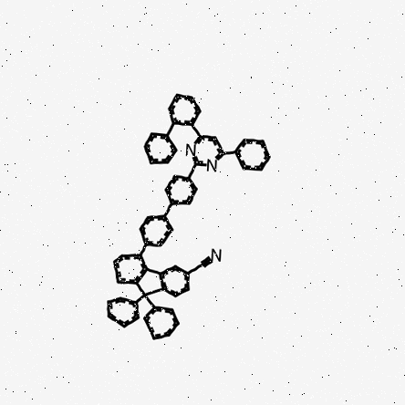 N#Cc1ccc2c(c1)-c1c(-c3ccc(-c4ccc(-c5nc(-c6ccccc6)cc(-c6ccccc6-c6ccccc6)n5)cc4)cc3)cccc1C2(c1ccccc1)c1ccccc1